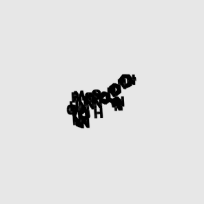 COc1cc(N2CCC(N3CCCN(C)CC3)CC2)c(-c2cnn(C)c2)cc1Nc1ncc(Br)c(Nc2ccc3nccnc3c2P(C)(C)=O)n1